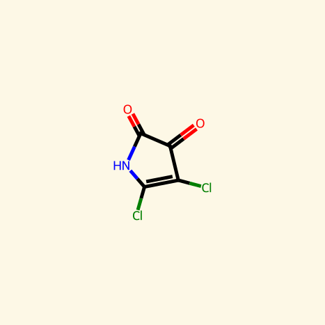 O=C1NC(Cl)=C(Cl)C1=O